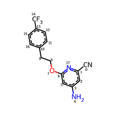 N#Cc1cc(N)cc(OCCc2ccc(C(F)(F)F)cc2)n1